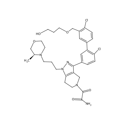 C[C@H]1COCCN1CCCn1nc(-c2ccc(Cl)c(-c3ccc(Cl)c(COCCCO)c3)c2)c2c1CCN(C(=O)C(N)=O)C2